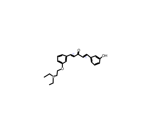 CCN(CC)CCOc1cccc(/C=C/C(=O)/C=C/c2cccc(O)c2)c1